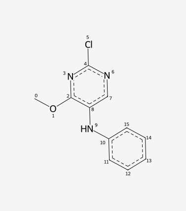 COc1nc(Cl)ncc1Nc1ccccc1